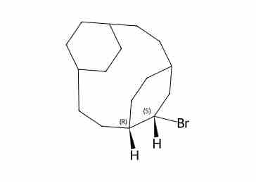 Br[C@H]1CC2CCC3CCC(CC3)CC[C@@H]1CC2